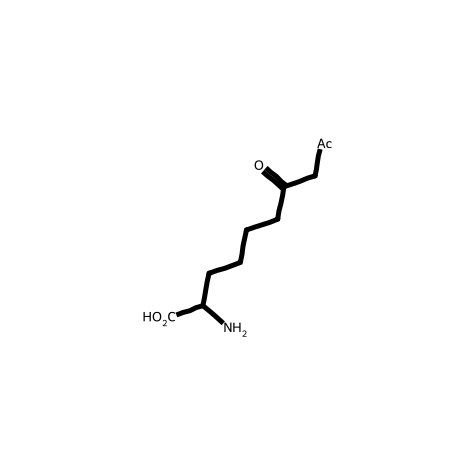 CC(=O)CC(=O)CCCCC(N)C(=O)O